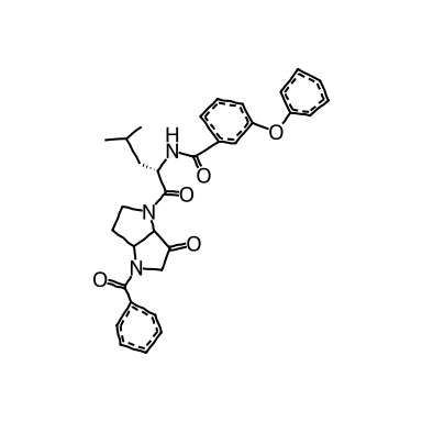 CC(C)C[C@H](NC(=O)c1cccc(Oc2ccccc2)c1)C(=O)N1CCC2C1C(=O)CN2C(=O)c1ccccc1